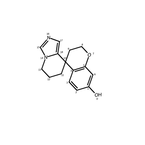 Oc1ccc2c(c1)OCCC21CCCn2cncc21